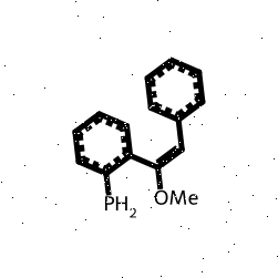 COC(=Cc1ccccc1)c1ccccc1P